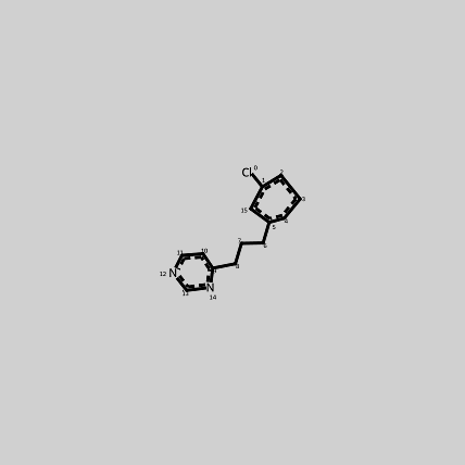 Clc1cccc(CCCc2ccn[c]n2)c1